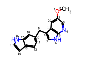 COc1cnc2[nH]cc(Cc3ccc4cc[nH]c4c3)c2c1